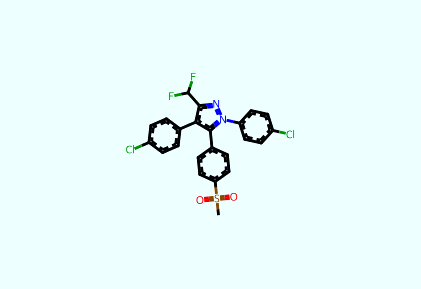 CS(=O)(=O)c1ccc(-c2c(-c3ccc(Cl)cc3)c(C(F)F)nn2-c2ccc(Cl)cc2)cc1